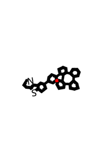 c1ccc2c(c1)-c1ccccc1-c1cccc(-c3ccc(-c4ccc5sc6cccnc6c5c4)cc3)c1-c1ccccc1-2